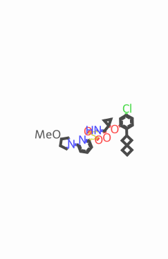 CO[C@H]1CCN(c2cccc(S(=O)(=O)NC(=O)C3(Oc4cc(Cl)ccc4C4CC5(CCC5)C4)CC3)n2)C1